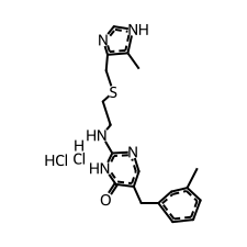 Cc1cccc(Cc2cnc(NCCSCc3nc[nH]c3C)[nH]c2=O)c1.Cl.Cl